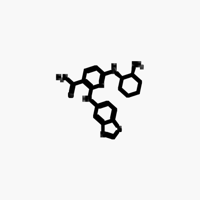 NC(=O)c1ccc(N[C@@H]2CCCC[C@@H]2N)nc1Nc1ccc2scnc2c1